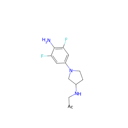 CC(=O)CNC1CCN(c2cc(F)c(N)c(F)c2)C1